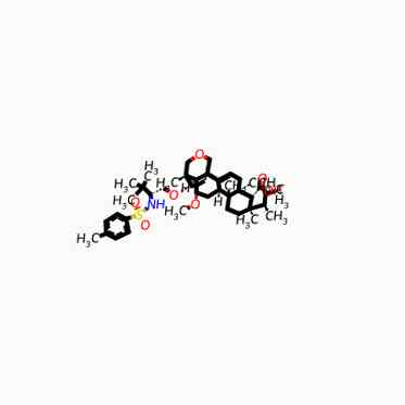 CO[C@@H]1C[C@@]23COC[C@](C)([C@@H]2CC[C@H]2C3=CC[C@@]3(C)[C@H](C(=O)O)[C@@](C)([C@H](C)C(C)C)CC[C@]23C)[C@H]1OC[C@H](NS(=O)(=O)c1ccc(C)cc1)C(C)(C)C